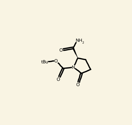 CC(C)(C)OC(=O)N1C(=O)CC[C@@H]1C(N)=O